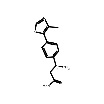 CNC(=O)C[C@H](N)c1ccc(-c2scnc2C)cc1